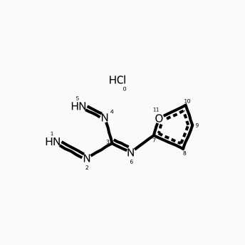 Cl.N=NC(N=N)=Nc1ccco1